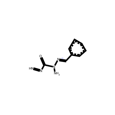 N=NC(=O)N(N)/N=C/c1ccccc1